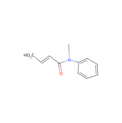 CN(C(=O)C=CC(=O)O)c1ccccc1